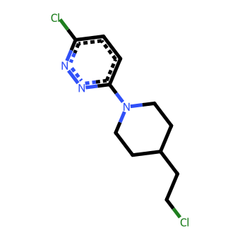 ClCCC1CCN(c2ccc(Cl)nn2)CC1